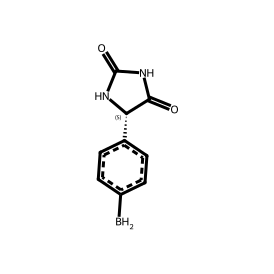 Bc1ccc([C@@H]2NC(=O)NC2=O)cc1